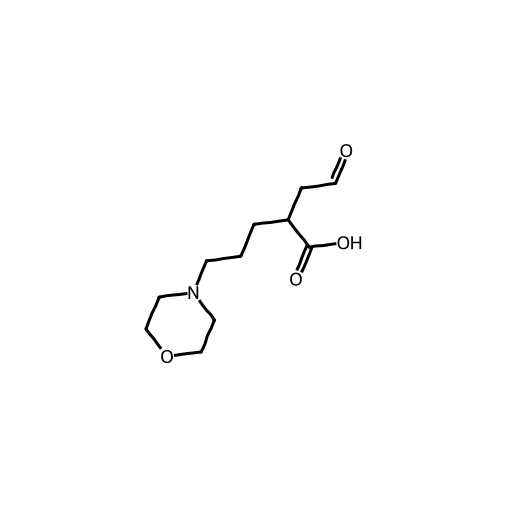 O=CCC(CCCN1CCOCC1)C(=O)O